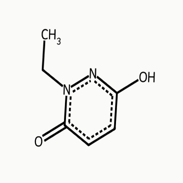 CCn1nc(O)ccc1=O